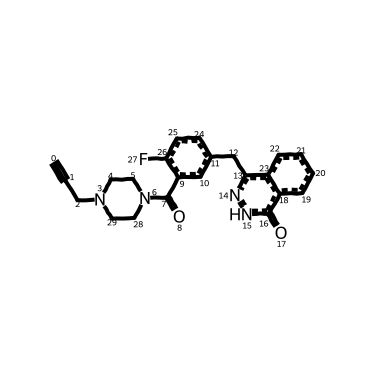 C#CCN1CCN(C(=O)c2cc(Cc3n[nH]c(=O)c4ccccc34)ccc2F)CC1